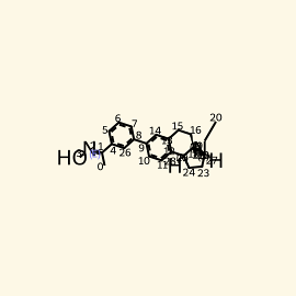 C/C(=N\O)c1cccc(-c2ccc3c(c2)CC[C@]24CN(C)C[C@H]2CC[C@H]34)c1